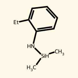 CCc1ccccc1N[SiH](C)C